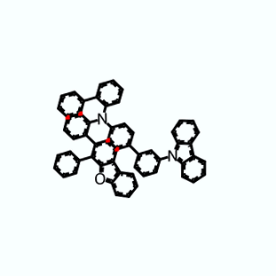 c1ccc(-c2ccccc2N(c2ccc(-c3cccc(-n4c5ccccc5c5ccccc54)c3)cc2)c2ccccc2-c2ccc3c(oc4ccccc43)c2-c2ccccc2)cc1